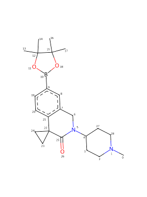 CN1CCC(N2Cc3cc(B4OC(C)(C)C(C)(C)O4)ccc3C3(CC3)C2=O)CC1